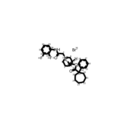 O=C(C[N+]12CCC(CC1)[C@@H](OC(=O)C1(c3ccccc3)CCCCCC1)C2)Nc1cccc(F)c1F.[Br-]